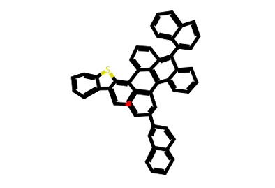 c1cc(-c2ccc3ccccc3c2)cc(-c2c3ccccc3c(-c3cccc4ccccc34)c3cccc(-c4cccc5c4sc4ccccc45)c23)c1